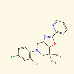 CC1(C)CN(c2ccc(F)cc2Cl)CC2N=C(c3ccccn3)OC21